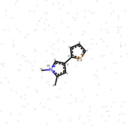 Cc1cc(-c2cccs2)cn1C